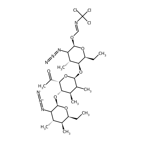 CC[C@@H]1O[C@H](O[C@H]2[C@H](C)C(C)[C@H](O[C@@H]3[C@H](CC)O[C@H](O/C=N/C(Cl)(Cl)Cl)C(N=[N+]=[N-])[C@H]3C)O[C@H]2C(C)=O)C(N=[N+]=[N-])[C@@H](C)[C@@H]1C